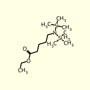 CCOC(=O)CCCCN([Si](C)(C)C)[Si](C)(C)C